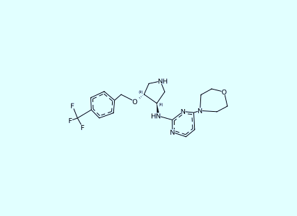 FC(F)(F)c1ccc(CO[C@@H]2CNC[C@H]2Nc2nccc(N3CCOCC3)n2)cc1